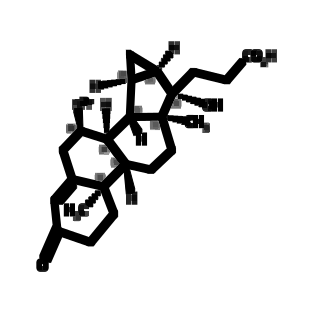 CCC[C@@H]1CC2=CC(=O)CC[C@]2(C)[C@H]2CC[C@@]3(C)[C@@H]([C@H]4C[C@H]4[C@@]3(O)CCC(=O)O)[C@H]12